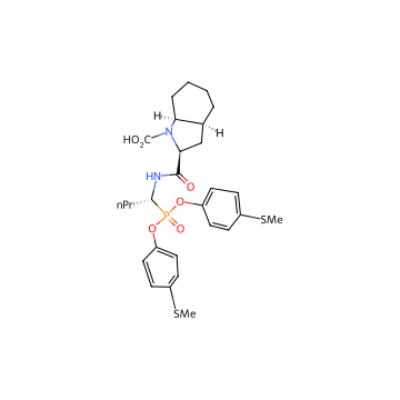 CCC[C@H](NC(=O)[C@@H]1C[C@@H]2CCCC[C@@H]2N1C(=O)O)P(=O)(Oc1ccc(SC)cc1)Oc1ccc(SC)cc1